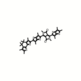 Cc1sc2c(c1C)C(C)(C)C(C)(C)c1c-2sc(-c2sc3c(C)c(C4=C5C(=O)N(C)C(c6sc7c(C)c(C)sc7c6C)=C5C(=O)N4C)sc3c2C)c1C